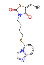 CCC/C=C1/SC(=O)N(CCCCSc2cccc3nccn23)C1=O